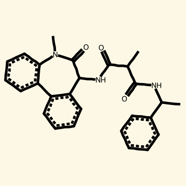 CC(C(=O)NC(C)c1ccccc1)C(=O)NC1C(=O)N(C)c2ccccc2-c2ccccc21